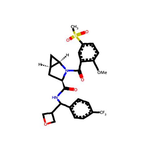 COc1ccc(S(C)(=O)=O)cc1C(=O)N1[C@@H](C(=O)NC(c2ccc(C(F)(F)F)cc2)C2COC2)C[C@H]2C[C@H]21